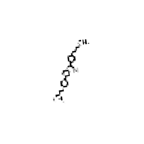 CCCCCC1CCC(C(C#N)C[C@H]2CC[C@H]([C@H]3CC[C@H](CCCCC)CC3)CC2)CC1